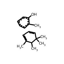 CC1=CC=CC(C)(C)C1C.Cc1ccccc1O